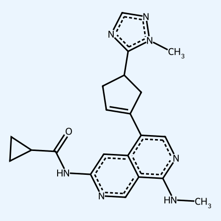 CNc1ncc(C2=CCC(c3ncnn3C)C2)c2cc(NC(=O)C3CC3)ncc12